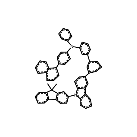 CC1(C)c2ccccc2-c2ccc(-n3c4ccccc4c4cc(-c5cccc(-c6cccc(N(c7ccccc7)c7ccc(-c8cccc9ccccc89)cc7)c6)c5)ccc43)cc21